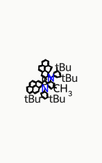 Cc1cc2c3c(c1)N(c1cc(C(C)(C)C)cc(C(C)(C)C)c1)c1c(cc4ccc5cccc6ccc1c4c56)B3c1cc3ccc4cccc5ccc(c1N2c1cc(C(C)(C)C)cc(C(C)(C)C)c1)c3c45